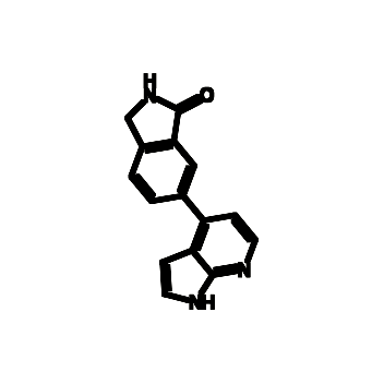 O=C1NCc2ccc(-c3ccnc4[nH]ccc34)cc21